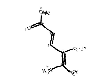 CCOC(=O)C(/C=C/C(=O)OC)=C(/N)C(C)C